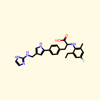 CCc1cc(F)cc(C)c1NC(Cc1ccc(-c2cc(CNc3ncc[nH]3)c[nH]2)cc1)C(=O)O